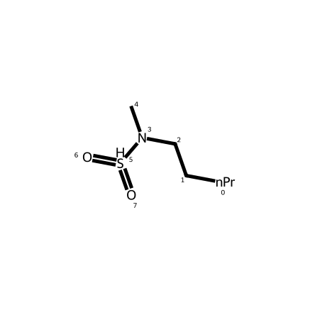 CCCCCN(C)[SH](=O)=O